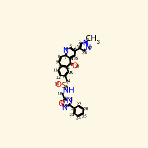 Cn1cc(-c2cnc3ccc4ccc(C[S+]([O-])NCc5nc(-c6ccccc6)no5)cc4c(=O)c3c2)cn1